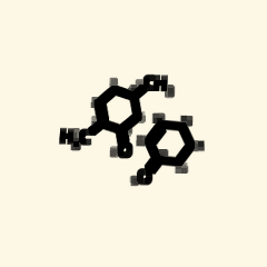 CC1=CCC(C)CC1=O.O=C1C=CCCC1